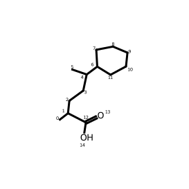 CC(CCC(C)C1CCCCC1)C(=O)O